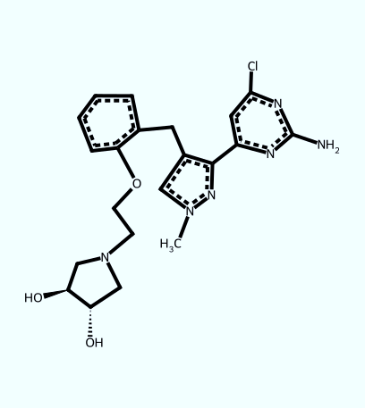 Cn1cc(Cc2ccccc2OCCN2C[C@H](O)[C@@H](O)C2)c(-c2cc(Cl)nc(N)n2)n1